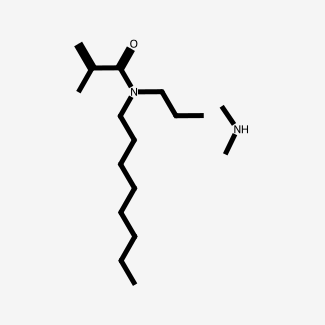 C=C(C)C(=O)N(CCC)CCCCCCCC.CNC